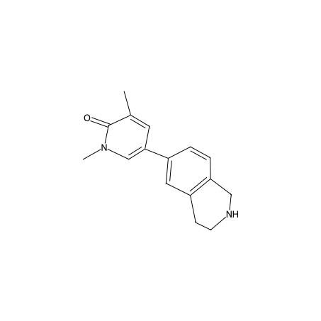 Cc1cc(-c2ccc3c(c2)CCNC3)cn(C)c1=O